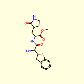 COC(=O)C(C[C@@H]1CCNC1=O)NC(=O)C(N)[C@@H]1Cc2ccccc2O1